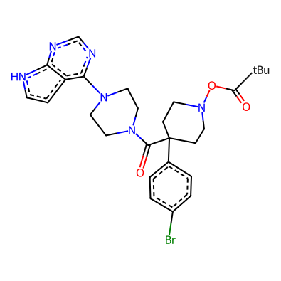 CC(C)(C)C(=O)ON1CCC(C(=O)N2CCN(c3ncnc4[nH]ccc34)CC2)(c2ccc(Br)cc2)CC1